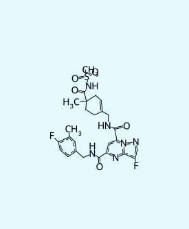 Cc1cc(CNC(=O)c2cc(C(=O)NCC3=CCC(C)(C(=O)NS(C)(=O)=O)CC3)n3ncc(F)c3n2)ccc1F